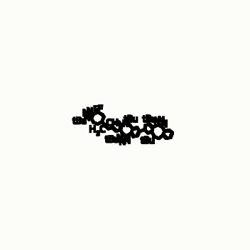 CC(C)(C)C1Cc2ccccc2-c2nnn(C(C)(C)C)c2-c2ccc(-c3ccc4c(c3)CN(C(C)(C)C)c3ccc(CC(C)(C)C5CCc6c(nnn6C(C)(C)C)C(F)(F)CC5)cc3-c3c-4nnn3C(C)(C)C)cc21